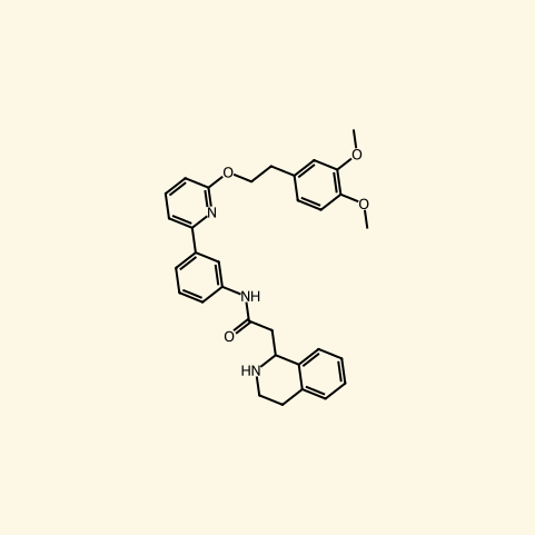 COc1ccc(CCOc2cccc(-c3cccc(NC(=O)CC4NCCc5ccccc54)c3)n2)cc1OC